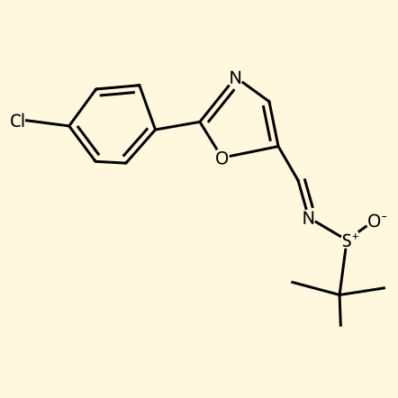 CC(C)(C)[S+]([O-])N=Cc1cnc(-c2ccc(Cl)cc2)o1